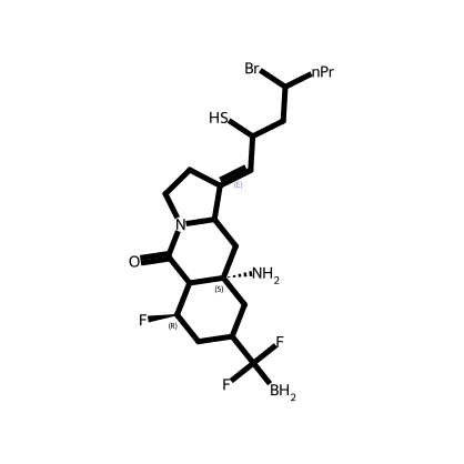 BC(F)(F)C1C[C@@H](F)C2C(=O)N3CC/C(=C\C(S)CC(Br)CCC)C3C[C@@]2(N)C1